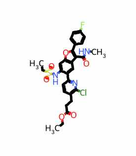 CCOC(=O)CCc1ccc(-c2cc3c(C(=O)NC)c(-c4ccc(F)cc4)oc3cc2NS(=O)(=O)CC)nc1Cl